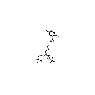 Cc1ccc(S)c(OCCCCCN(C(=O)OC(C)(C)C)C2CCC(F)(F)CC2)c1